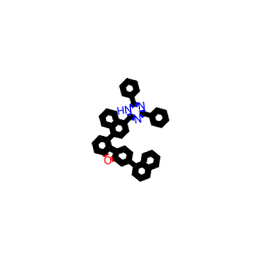 c1ccc(C2=NC(c3ccccc3)NC(c3ccc(-c4cccc5oc6cc(-c7cccc8ccccc78)ccc6c45)c4ccccc34)=N2)cc1